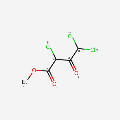 CCOC(=O)C(Cl)C(=O)C(Cl)Cl